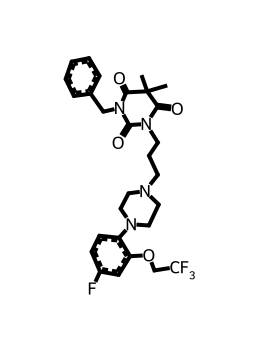 CC1(C)C(=O)N(CCCN2CCN(c3ccc(F)cc3OCC(F)(F)F)CC2)C(=O)N(Cc2ccccc2)C1=O